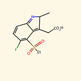 CCS(=O)(=O)c1c(F)ccc2c1=C(CC(=O)O)C(C)N=2